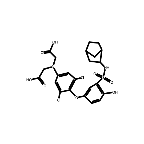 O=C(O)CN(CC(=O)O)c1cc(Cl)c(Oc2ccc(O)c(S(=O)(=O)NC3CC4CCC3C4)c2)c(Cl)c1